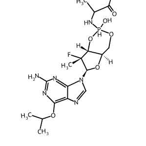 COC(=O)C(C)N[PH]1(O)OC[C@H]2O[C@@H](n3cnc4c(OC(C)C)nc(N)nc43)[C@](C)(F)[C@@H]2O1